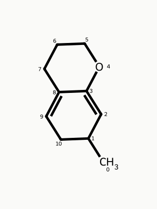 CC1C=C2OCCCC2=CC1